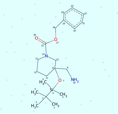 CC(C)(C)[Si](C)(C)OC1(CN)CCCN(C(=O)OCc2ccccc2)C1